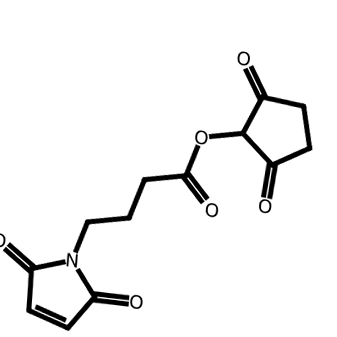 O=C(CCCN1C(=O)C=CC1=O)OC1C(=O)CCC1=O